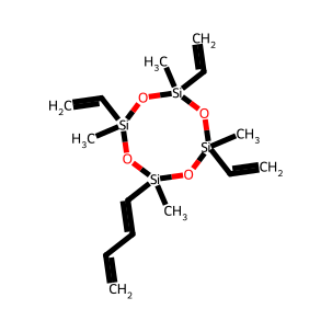 C=CC=C[Si]1(C)O[Si](C)(C=C)O[Si](C)(C=C)O[Si](C)(C=C)O1